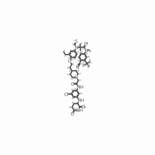 CCc1cc(N(C=S)C(C)(C)C(=O)N(C)c2ccc(C#N)c(C(F)(F)F)c2)ccc1OCCC1CCN(CC(=O)Nc2cc(Cl)cc(NC3CCC(=O)NC3=O)c2)CC1